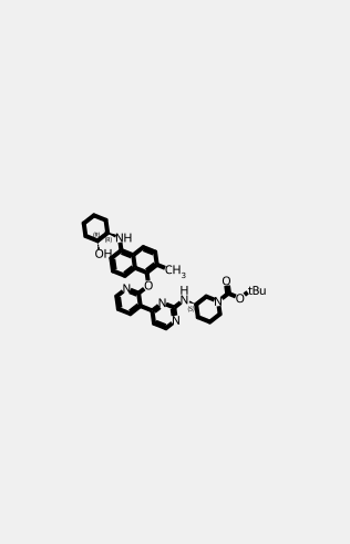 Cc1ccc2c(N[C@@H]3CCCC[C@H]3O)cccc2c1Oc1ncccc1-c1ccnc(N[C@H]2CCCN(C(=O)OC(C)(C)C)C2)n1